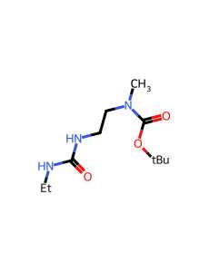 CCNC(=O)NCCN(C)C(=O)OC(C)(C)C